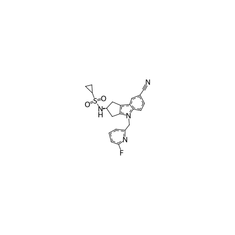 N#Cc1ccc2c(c1)c1c(n2Cc2cccc(F)n2)C[C@@H](NS(=O)(=O)C2CC2)C1